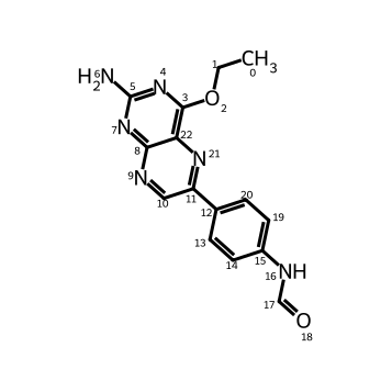 CCOc1nc(N)nc2ncc(-c3ccc(NC=O)cc3)nc12